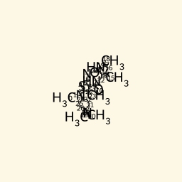 CCN(c1sc(C#N)c(C(=O)NCc2c(C)cc(C)[nH]c2=O)c1C)C1CCC(N(C)C)CC1